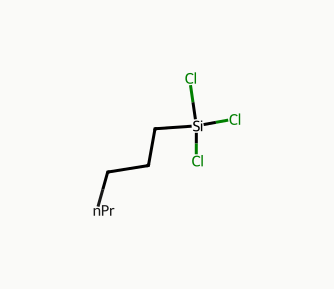 CCCCCC[Si](Cl)(Cl)Cl